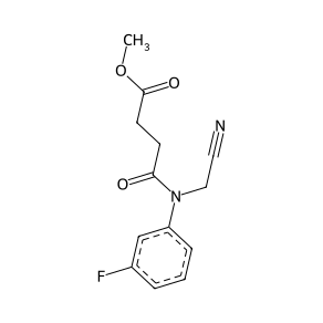 COC(=O)CCC(=O)N(CC#N)c1cccc(F)c1